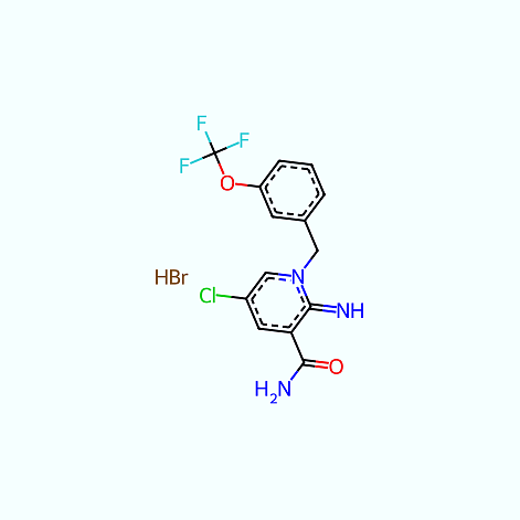 Br.N=c1c(C(N)=O)cc(Cl)cn1Cc1cccc(OC(F)(F)F)c1